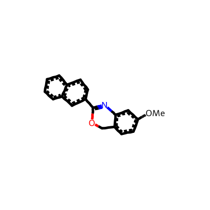 COc1ccc2c(c1)N=C(c1ccc3ccccc3c1)OC2